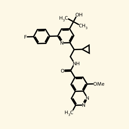 COc1cc(C(=O)NCC(c2cc(C(C)(C)O)cc(-c3ccc(F)cc3)n2)C2CC2)cc2cc(C)nnc12